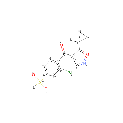 CC1(c2oncc2C(=O)c2ccc(S(C)(=O)=O)cc2Cl)CC1